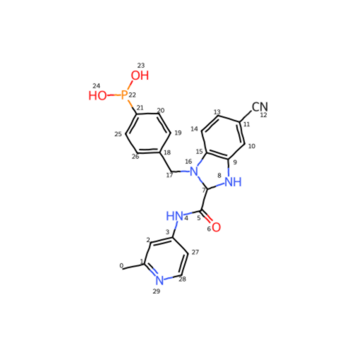 Cc1cc(NC(=O)C2Nc3cc(C#N)ccc3N2Cc2ccc(P(O)O)cc2)ccn1